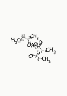 CCC(=O)[O-].CCC(=O)[O-].CCC(C)[O][Al+2]